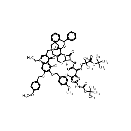 CCn1cc(C[N+]2(CC3=C(C(=O)OC(c4ccccc4)c4ccccc4)N4C(=O)[C@@H](NC(=O)/C(=N\OC(C)(C)C(=O)OC(C)(C)C)c5nc(NC(=O)OC(C)(C)C)sc5Cl)[C@H]4SC3)CCCC2)c(=O)c2c(Cl)c(OCc3ccc(OC)cc3)c(OCc3ccc(OC)cc3)cc21